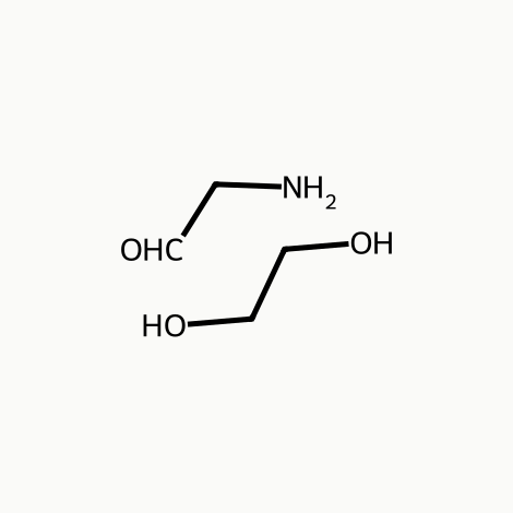 NCC=O.OCCO